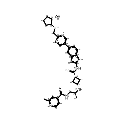 Cc1cc(C(=O)NC[C@H](C)N[C@H]2C[C@@H](C(=O)Nc3nc4ccc(-c5cnc(CO[C@H]6CCC[C@@H]6O)nc5)cc4s3)C2)ccn1